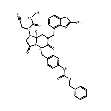 CNC(=O)N(CC#N)N1CC(=O)N2[C@@H](Cc3ccc(NC(=O)OCc4ccccc4)cc3)C(=O)N(Cc3cccc4sc(N)nc34)C[C@@H]21